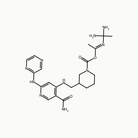 C/C(=N\C(C)(N)N)OC(=O)N1CCCC(CNc2cc(Nc3cnccn3)ncc2C(N)=O)C1